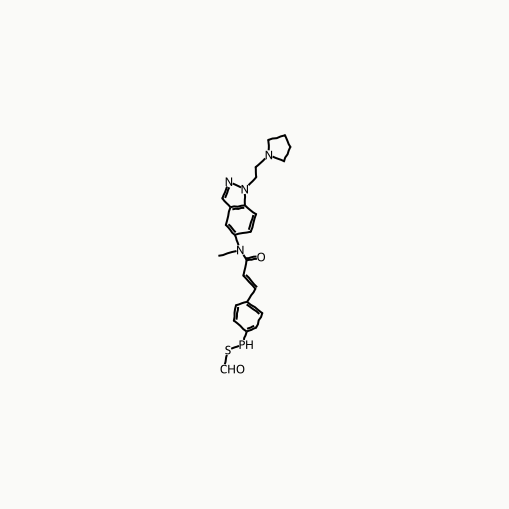 CN(C(=O)/C=C/c1ccc(PSC=O)cc1)c1ccc2c(cnn2CCN2CCCC2)c1